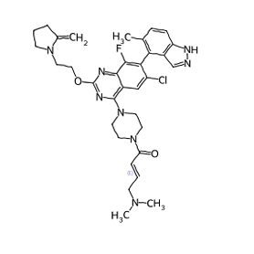 C=C1CCCN1CCOc1nc(N2CCN(C(=O)/C=C/CN(C)C)CC2)c2cc(Cl)c(-c3c(C)ccc4[nH]ncc34)c(F)c2n1